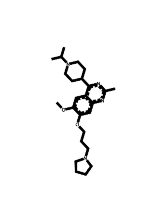 COc1cc2c(C3CCN(C(C)C)CC3)nc(C)nc2cc1OCCCN1CCCC1